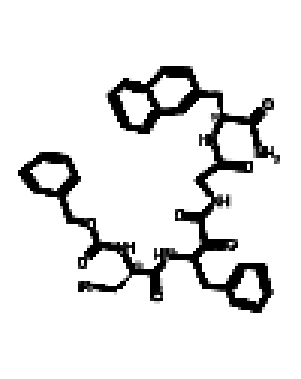 CC(C)C[C@H](NC(=O)OCc1ccccc1)C(=O)NC(Cc1ccccc1)C(=O)C(=O)NCC(=O)N[C@@H](Cc1ccc2ccccc2c1)C(N)=O